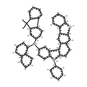 CC1(C)c2ccccc2-c2ccc(N(c3ccc4c(c3)c3c5cc6c(cc5ccc3n4-c3ccccc3)oc3ccccc36)c3cccc4ccccc34)cc21